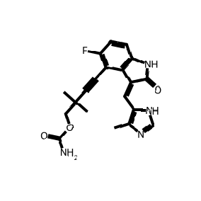 Cc1nc[nH]c1/C=C1\C(=O)Nc2ccc(F)c(C#CC(C)(C)COC(N)=O)c21